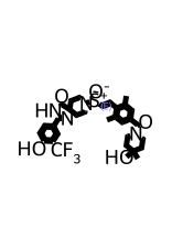 Cc1cc(C(=O)N2CCC(C)(O)CC2)cc(C)c1/C=C/[S+]([O-])N1CCC2(CC1)N=C(c1ccc(O)c(C(F)(F)F)c1)NC2=O